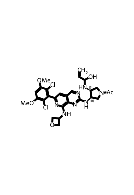 C=CC(O)N[C@H]1CN(C(C)=O)C[C@H]1Nc1ncc2cc(-c3c(Cl)c(OC)cc(OC)c3Cl)nc(NC3COC3)c2n1